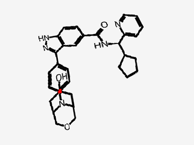 O=C(N[C@@H](c1ccccn1)C1CCCC1)c1ccc2[nH]nc(-c3ccc(N4C5COCC4CC(O)C5)cc3)c2c1